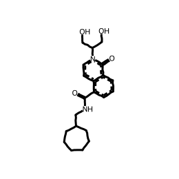 O=C(NCC1CCCCCC1)c1cccc2c(=O)n(C(CO)CO)ccc12